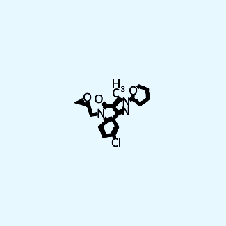 Cc1c2c(=O)n(CC3CO3)c3ccc(Cl)cc3c2nn1C1CCCCO1